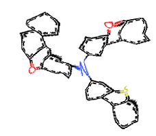 c1ccc2c(c1)ccc1oc3ccc(N(c4ccc5c(c4)sc4ccccc45)c4ccc5oc6ccccc6c5c4)cc3c12